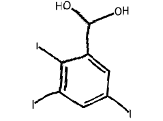 OC(O)c1cc(I)cc(I)c1I